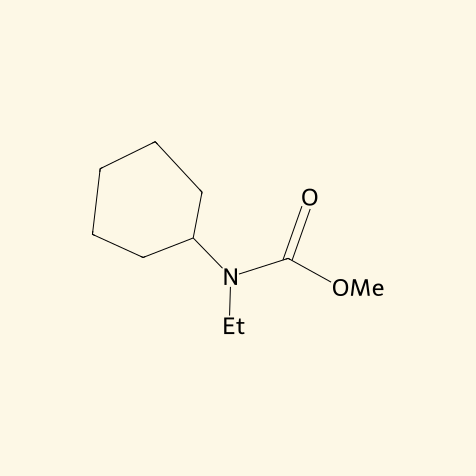 [CH2]OC(=O)N(CC)C1CCCCC1